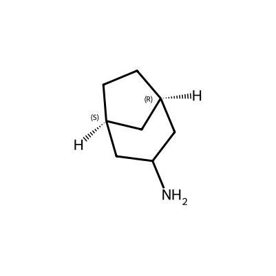 NC1C[C@H]2CC[C@@H](C1)C2